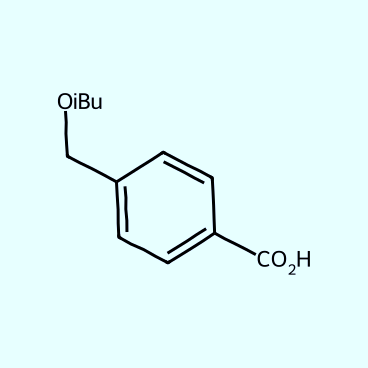 CC(C)COCc1ccc(C(=O)O)cc1